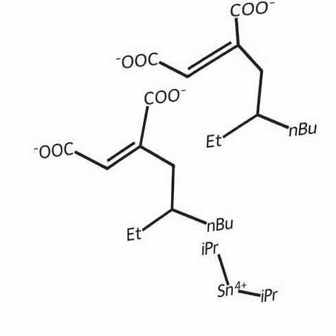 CCCCC(CC)C/C(=C/C(=O)[O-])C(=O)[O-].CCCCC(CC)C/C(=C/C(=O)[O-])C(=O)[O-].C[CH](C)[Sn+4][CH](C)C